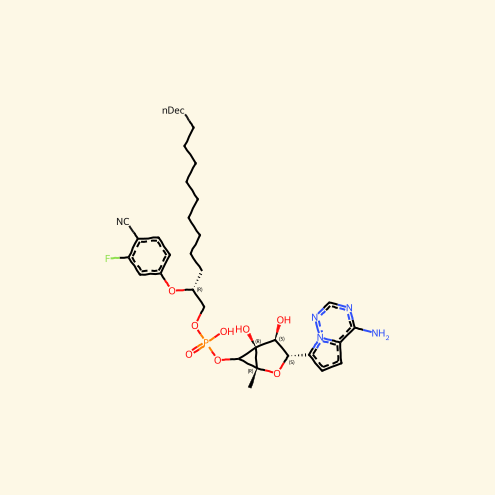 CCCCCCCCCCCCCCCCCCC[C@H](COP(=O)(O)OC1[C@@]2(C)O[C@@H](c3ccc4c(N)ncnn34)[C@H](O)[C@@]12O)Oc1ccc(C#N)c(F)c1